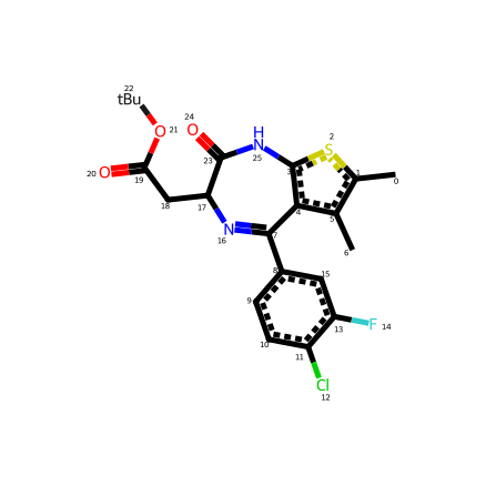 Cc1sc2c(c1C)C(c1ccc(Cl)c(F)c1)=NC(CC(=O)OC(C)(C)C)C(=O)N2